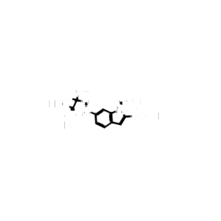 CC1(C)OB(c2ccc3cc(C(=O)O)n(C(=O)O)c3c2)OC1(C)C